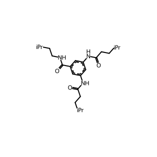 CC(C)CCNC(=O)c1cc(NC(=O)CCC(C)C)cc(NC(=O)CCC(C)C)c1